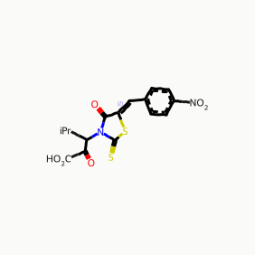 CC(C)C(C(=O)C(=O)O)N1C(=O)/C(=C/c2ccc([N+](=O)[O-])cc2)SC1=S